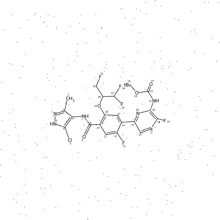 Cc1n[nH]c(Cl)c1NC(=O)c1cc(F)c(-c2cnc(F)c(NC(=O)OC(C)(C)C)n2)cc1OC(CF)C(F)F